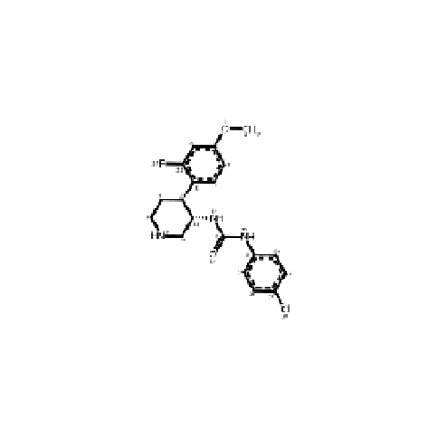 COc1ccc([C@@H]2CCNC[C@H]2NC(=O)Nc2ccc(Cl)cc2)c(F)c1